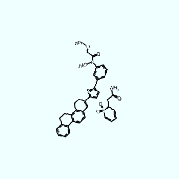 CCCOCC(=O)N(O)c1cccc(-c2ccc(C3=Cc4ccc5c(c4CC3)CCc3ccccc3-5)s2)c1.NC(=O)CC1C=CC=CS1(=O)=O